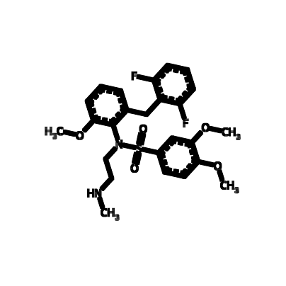 CNCCN(c1c(Cc2c(F)cccc2F)cccc1OC)S(=O)(=O)c1ccc(OC)c(OC)c1